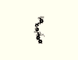 Cc1c(C(=O)Nc2ccc(N3CCC(COc4cccc(C(=O)O)c4)C3)nc2)oc2ccc(-c3ccccc3)cc12